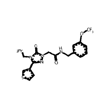 CC(C)Cn1c(-c2ccsc2)nn(CC(=O)NCc2cccc(OC(F)(F)F)c2)c1=O